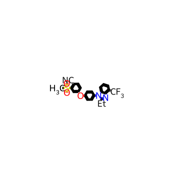 CCc1nc2c(C(F)(F)F)cccc2n1-c1ccc(Oc2ccc(C#N)c(S(C)(=O)=O)c2)cc1